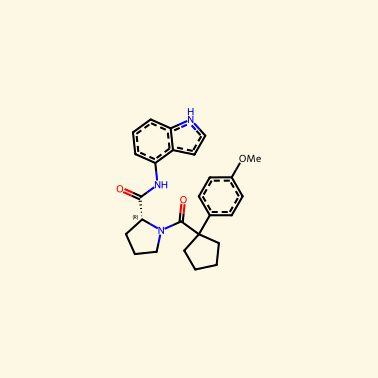 COc1ccc(C2(C(=O)N3CCC[C@@H]3C(=O)Nc3cccc4[nH]ccc34)CCCC2)cc1